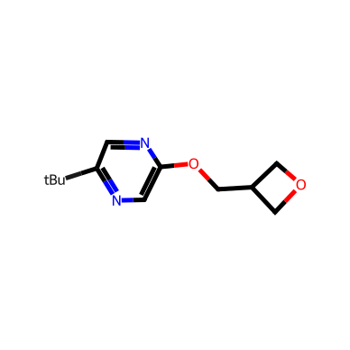 CC(C)(C)c1cnc(OCC2COC2)cn1